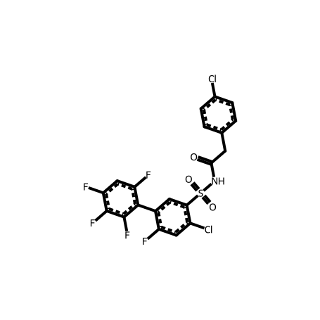 O=C(Cc1ccc(Cl)cc1)NS(=O)(=O)c1cc(-c2c(F)cc(F)c(F)c2F)c(F)cc1Cl